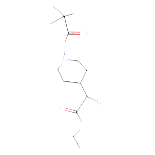 CCOC(=O)C(Br)C1CCN(OC(=O)C(C)(C)C)CC1